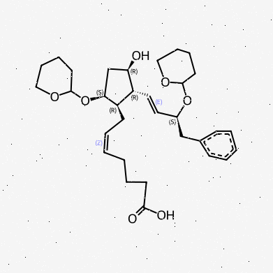 O=C(O)CCC/C=C\C[C@@H]1[C@@H](/C=C/[C@H](Cc2ccccc2)OC2CCCCO2)[C@H](O)C[C@@H]1OC1CCCCO1